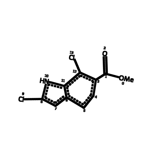 COC(=O)c1ccc2cc(Cl)[nH]c2c1Cl